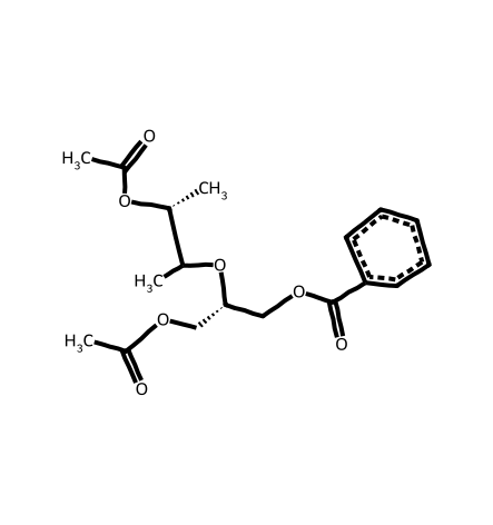 CC(=O)OC[C@@H](COC(=O)c1ccccc1)OC(C)[C@@H](C)OC(C)=O